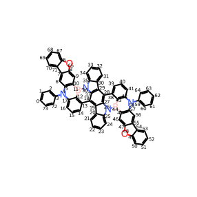 c1ccc(N2c3cc4c(cc3B3c5c(cccc52)-c2c5c6ccccc6n6c5c(c5c7ccccc7n3c25)-c2cccc3c2B6c2cc5oc6ccccc6c5cc2N3c2ccccc2)oc2ccccc24)cc1